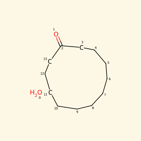 O.O=C1CCCCCCCCCCC1